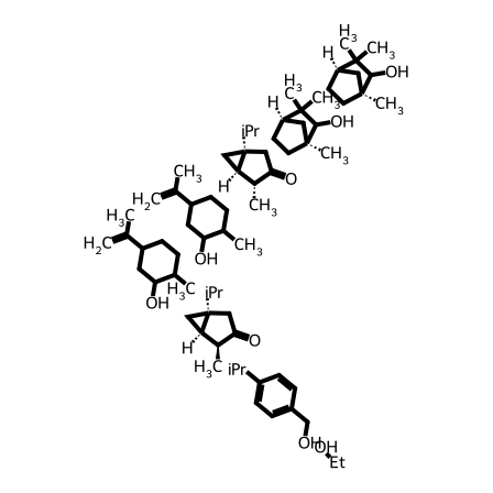 C=C(C)C1CCC(C)C(O)C1.C=C(C)C1CCC(C)C(O)C1.CC(C)[C@]12CC(=O)[C@@H](C)[C@H]1C2.CC(C)[C@]12CC(=O)[C@H](C)[C@H]1C2.CC(C)c1ccc(CO)cc1.CC1(C)C(O)[C@@]2(C)CC[C@@H]1C2.CC1(C)C(O)[C@@]2(C)CC[C@@H]1C2.CCO